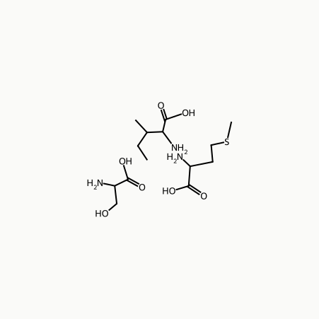 CCC(C)C(N)C(=O)O.CSCCC(N)C(=O)O.NC(CO)C(=O)O